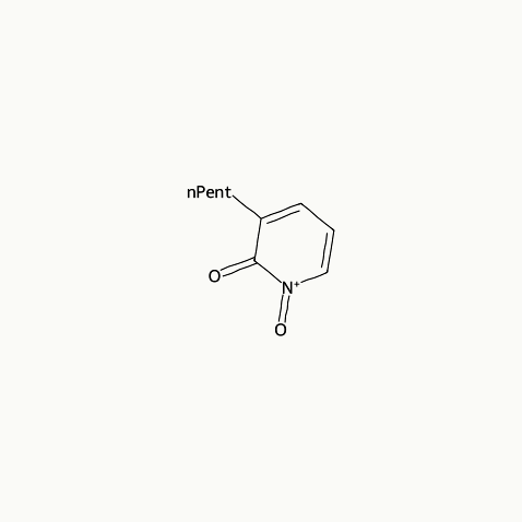 CCCCCC1=CC=C[N+](=O)C1=O